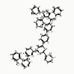 c1ccc(-c2nc(-c3ccc(-c4ccc(-c5nc6ccccc6c6sc(-c7cccnc7)c(-c7cccnc7)c56)cc4)cc3)cc(-c3cccc(-c4cccc5oc6ccccc6c45)c3)n2)cc1